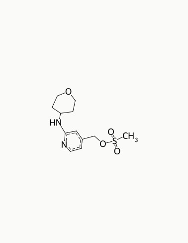 CS(=O)(=O)OCc1ccnc(NC2CCOCC2)c1